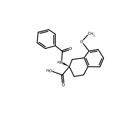 COc1cccc2c1C[C@@](NC(=O)c1ccccc1)(C(=O)O)CC2